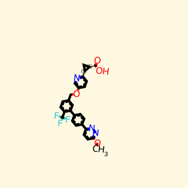 COc1ccc(-c2ccc(-c3cc(COc4ccc([C@H]5C[C@@H]5C(=O)O)nc4)ccc3C(F)(F)F)cc2)nn1